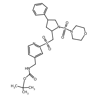 CC(C)(C)OC(=O)NCc1ccnc(S(=O)(=O)CC2CC(c3ccccc3)CN2S(=O)(=O)N2CCOCC2)c1